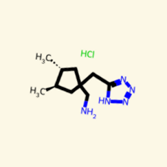 C[C@@H]1CC(CN)(Cc2nnn[nH]2)C[C@H]1C.Cl